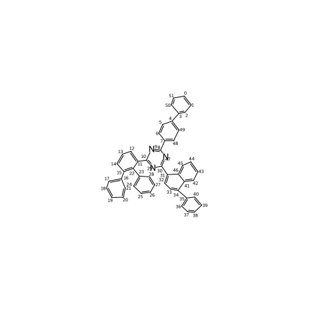 c1ccc(-c2ccc(-c3nc(-c4cccc(-c5ccccc5)c4-c4ccccc4)nc(-c4ccc(-c5ccccc5)c5ccccc45)n3)cc2)cc1